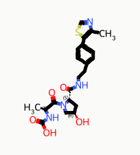 Cc1ncsc1-c1ccc(CCNC(=O)[C@@H]2C[C@@H](O)CN2C(=O)[C@H](C)NC(=O)O)cc1